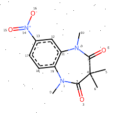 CN1C(=O)C(C)(C)C(=O)N(C)c2cc([N+](=O)[O-])ccc21